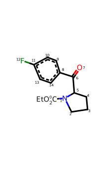 CCOC(=O)N1CCCC1C(=O)c1ccc(F)cc1